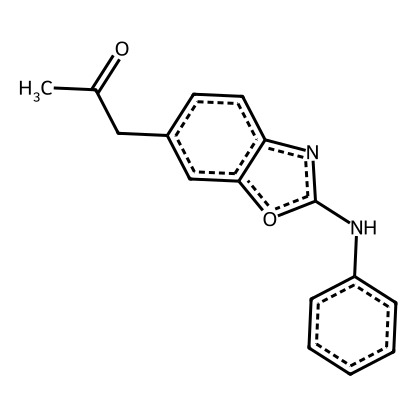 CC(=O)Cc1ccc2nc(Nc3ccccc3)oc2c1